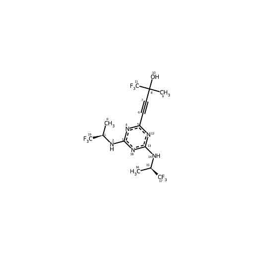 C[C@@H](Nc1nc(C#CC(C)(O)C(F)(F)F)nc(N[C@H](C)C(F)(F)F)n1)C(F)(F)F